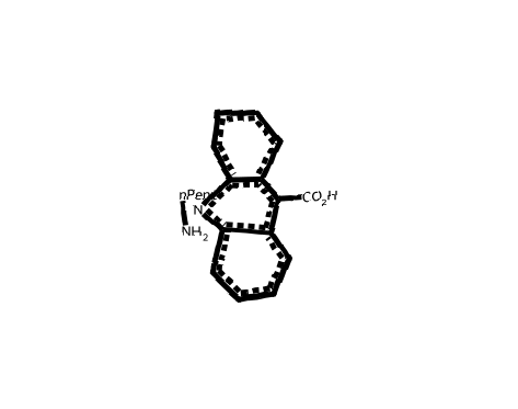 CCCCCN.O=C(O)c1c2ccccc2nc2ccccc12